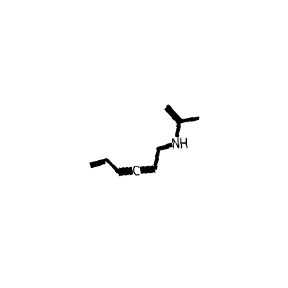 C=CC=C=CCNC(=C)C